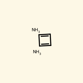 C1=CC=C1.N.N